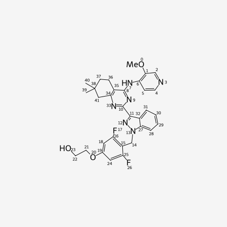 COc1cnccc1Nc1nc(-c2nn(Cc3c(F)cc(OCCO)cc3F)c3ccccc23)nc2c1CCC(C)(C)C2